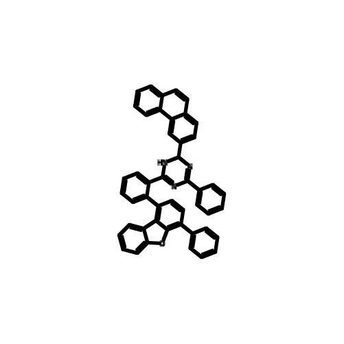 c1ccc(C2=NC(c3ccc4ccc5ccccc5c4c3)NC(c3ccccc3-c3ccc(-c4ccccc4)c4oc5ccccc5c34)=N2)cc1